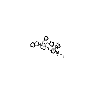 COc1ccc(C=CC(=O)N(Cc2ccc(-c3ncccn3)cc2)C(Cc2ccccc2)C(=O)N2CCc3ccccc3C2)cn1